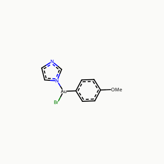 COc1cc[c]([Au]([Br])[n]2ccnc2)cc1